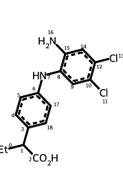 CCC(C(=O)O)c1ccc(Nc2cc(Cl)c(Cl)cc2N)cc1